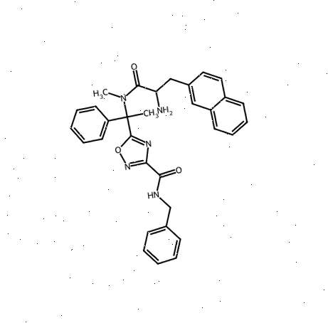 CN(C(=O)C(N)Cc1ccc2ccccc2c1)C(C)(c1ccccc1)c1nc(C(=O)NCc2ccccc2)no1